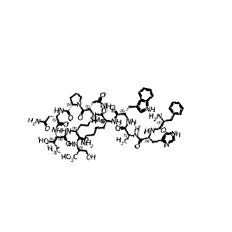 CSCC[C@H](NC(=O)[C@@H](NC(=O)[C@H](CC(N)=O)NC(=O)[C@@H]1CCCN1C(=O)[C@H](CC(N)=O)NC(=O)[C@H](CCCCN)NC(=O)[C@H](Cc1c[nH]c2ccccc12)NC(=O)[C@H](C)NC(=O)[C@H](Cc1c[nH]cn1)NC(=O)[C@@H](N)Cc1ccccc1)[C@@H](C)O)C(=O)N[C@@H](CO)C(=O)O